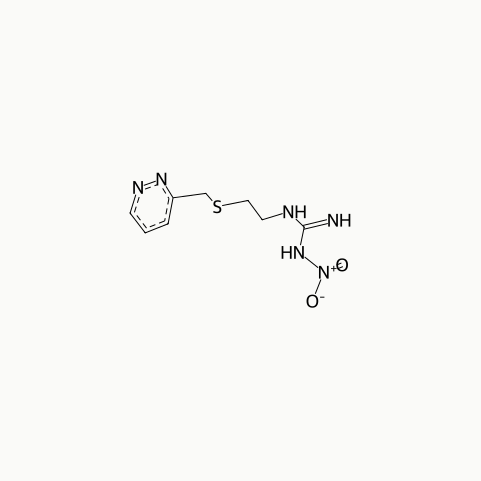 N=C(NCCSCc1cccnn1)N[N+](=O)[O-]